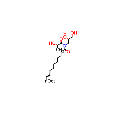 CCCCCCCCC=CCCCCCCCC(=O)N(CC(O)CO)C(=O)C(C)O